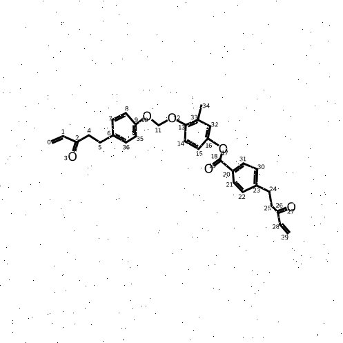 C=CC(=O)CCc1ccc(OCOc2ccc(OC(=O)c3ccc(CCC(=O)C=C)cc3)cc2C)cc1